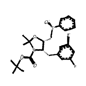 CC(C)(C)OC(=O)N1[C@@H](Cc2cc(F)cc(F)c2)[C@@H](C[S+]([O-])c2ccccc2)OC1(C)C